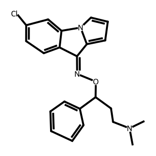 CN(C)CCC(ON=C1c2ccc(Cl)cc2-n2cccc21)c1ccccc1